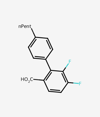 CCCCCc1ccc(-c2c(C(=O)O)ccc(F)c2F)cc1